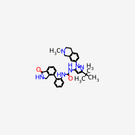 CN1CCc2ccc(-n3nc(C(C)(C)C)cc3NC(=O)Nc3ccccc3-c3cccc4c3CNC4=O)cc2C1